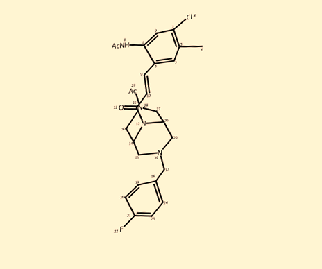 CC(=O)Nc1cc(Cl)c(C)cc1/C=C/C(=O)N1C2CN(Cc3ccc(F)cc3)CC1CN(C(C)=O)C2